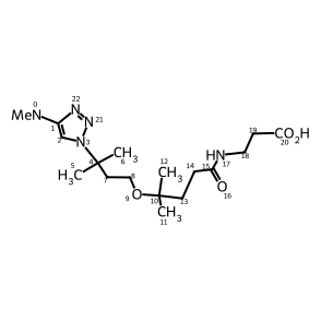 CNc1cn(C(C)(C)CCOC(C)(C)CCC(=O)NCCC(=O)O)nn1